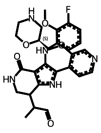 COc1c(F)cccc1Nc1c(-c2ccncc2OC[C@@H]2CNCCO2)[nH]c2c1C(=O)NCC2C(C)C=O